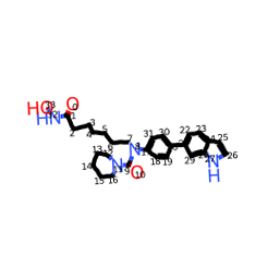 O=C(CCCCCCN(C(=O)N1CCCCC1)c1ccc(-c2ccc3cc[nH]c3c2)cc1)NO